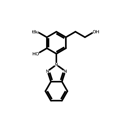 CC(C)(C)c1cc(CCO)cc(-n2nc3ccccc3n2)c1O